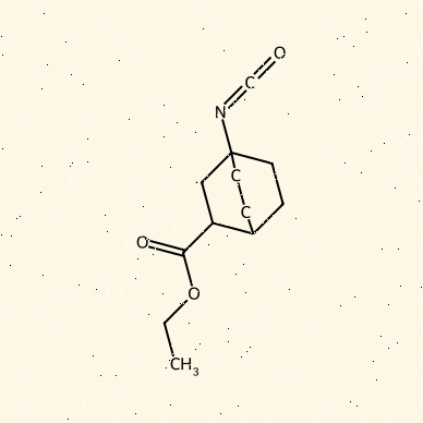 CCOC(=O)C1[CH]C2(N=C=O)CCC1CC2